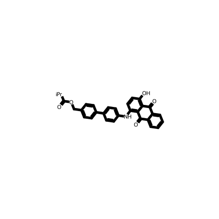 CC(C)C(=O)OCc1ccc(-c2ccc(Nc3ccc(O)c4c3C(=O)c3ccccc3C4=O)cc2)cc1